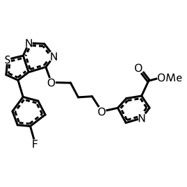 COC(=O)c1cncc(OCCCOc2ncnc3scc(-c4ccc(F)cc4)c23)c1